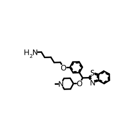 CN1CCC(OC(c2cccc(OCCCCCN)c2)c2nc3ccccc3s2)CC1